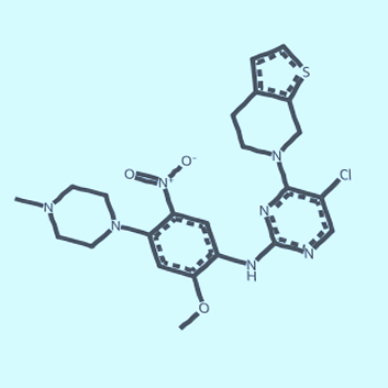 COc1cc(N2CCN(C)CC2)c([N+](=O)[O-])cc1Nc1ncc(Cl)c(N2CCc3ccsc3C2)n1